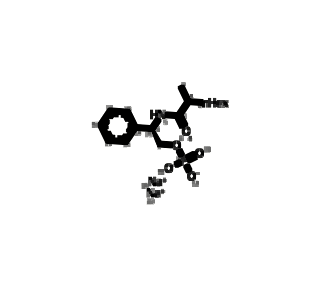 CCCCCCC(C)C(=O)N[C@@H](COP(=O)([O-])[O-])c1ccccc1.[Na+].[Na+]